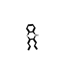 C=C/C=C1/Bc2ccccc2S/C1=C/C=C